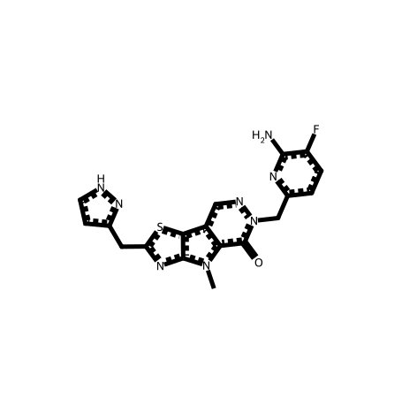 Cn1c2nc(Cc3cc[nH]n3)sc2c2cnn(Cc3ccc(F)c(N)n3)c(=O)c21